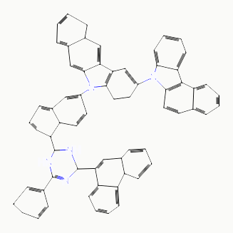 C1=CCC2C=c3c4c(n(C5=CC6=CC=CC(C7NC(C8=CCCC=C8)=NC(C8=CC9C=CC=CC9c9ccccc98)N7)C6C=C5)c3=CC2=C1)CCC(n1c2ccccc2c2c3ccccc3ccc21)=C4